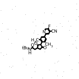 Cc1cc(-c2cc(C#N)c(F)cn2)cc(C)c1C1C(=O)CC(CC(=O)NC(C)(C)C)C1=O